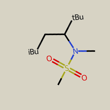 CCC(C)CC(N(C)S(C)(=O)=O)C(C)(C)C